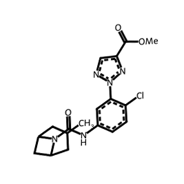 COC(=O)c1cnn(-c2cc(NC(=O)N3C4CC(C)CC3C4)ccc2Cl)n1